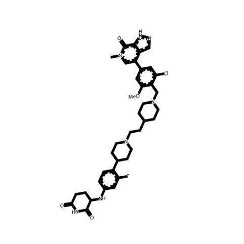 COc1cc(-c2cn(C)c(=O)c3[nH]ncc23)cc(Cl)c1CN1CCC(CCN2CCC(c3ccc(NC4CCC(=O)NC4=O)cc3F)CC2)CC1